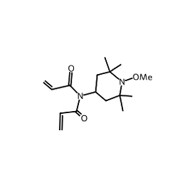 C=CC(=O)N(C(=O)C=C)C1CC(C)(C)N(OC)C(C)(C)C1